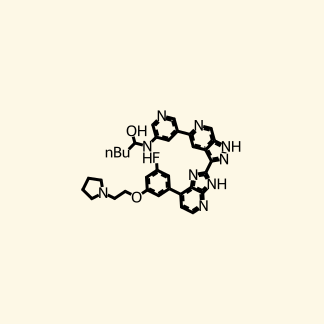 CCCCC(O)Nc1cncc(-c2cc3c(-c4nc5c(-c6cc(F)cc(OCCN7CCCC7)c6)ccnc5[nH]4)n[nH]c3cn2)c1